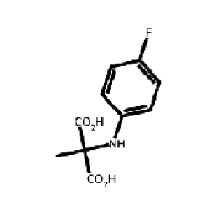 CC(Nc1ccc(F)cc1)(C(=O)O)C(=O)O